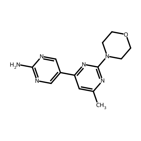 Cc1cc(-c2cnc(N)nc2)nc(N2CCOCC2)n1